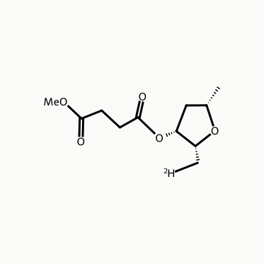 [2H]C[C@H]1O[C@@H](C)C[C@H]1OC(=O)CCC(=O)OC